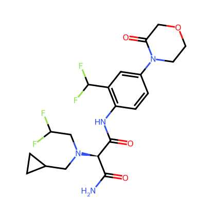 NC(=O)[C@H](C(=O)Nc1ccc(N2CCOCC2=O)cc1C(F)F)N(CC(F)F)CC1CC1